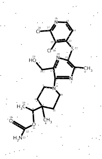 Cc1nc(N2CCC(C)(C(C)OC(N)=O)CC2)c(CO)nc1Sc1ccnc(Cl)c1Cl